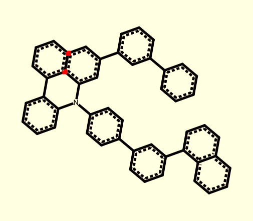 c1ccc(-c2cccc(-c3cccc(N(c4ccc(-c5cccc(-c6cccc7ccccc67)c5)cc4)c4ccccc4-c4ccccc4)c3)c2)cc1